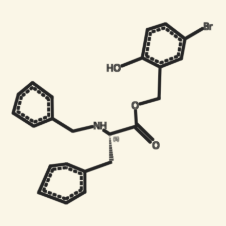 O=C(OCc1cc(Br)ccc1O)[C@H](Cc1ccccc1)NCc1ccccc1